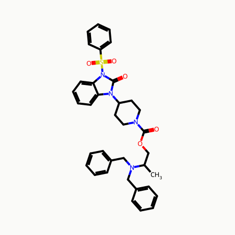 CC(COC(=O)N1CCC(n2c(=O)n(S(=O)(=O)c3ccccc3)c3ccccc32)CC1)N(Cc1ccccc1)Cc1ccccc1